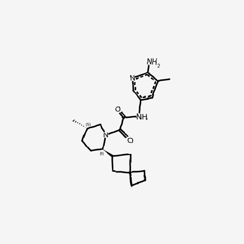 Cc1cc(NC(=O)C(=O)N2C[C@@H](C)CC[C@@H]2C2CC3(CCC3)C2)cnc1N